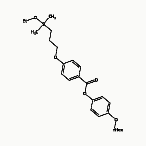 CCCCCCOc1ccc(OC(=O)c2ccc(OCCC[Si](C)(C)OCC)cc2)cc1